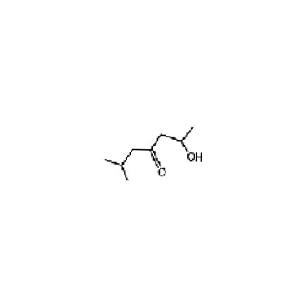 CC(C)CC(=O)CC(C)O